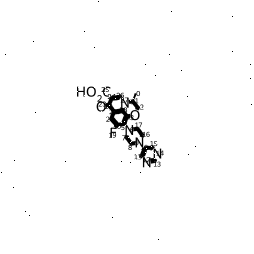 C[C@H]1COc2c(N3CCN(c4cncnc4)CC3)c(F)cc3c(=O)c(C(=O)O)cn1c23